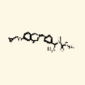 C[C@H](NC(=O)OC(C)(C)C)c1ccc(CN2Cc3ccc(OCC4CC4)cc3C(F)C2)cc1